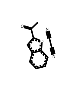 CC(=O)c1cc2ccccc2o1.N#CC#N